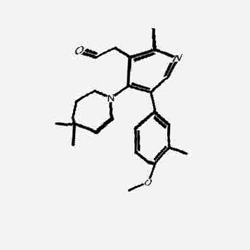 COc1ccc(-c2cnc(C)c(CC=O)c2N2CCC(C)(C)CC2)cc1C